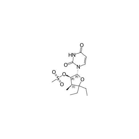 CCC1(CC)O[C@@H](n2ccc(=O)[nH]c2=O)[C@H](OS(C)(=O)=O)[C@@H]1C